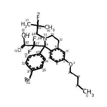 CCCCOc1ccc2c(c1)CCN(CC(C)(C)F)C2(c1ccc(Br)cc1)C(F)(F)C(=O)O